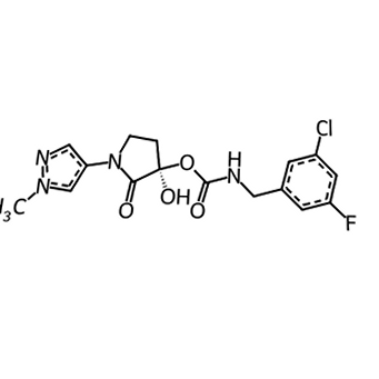 Cn1cc(N2CC[C@@](O)(OC(=O)NCc3cc(F)cc(Cl)c3)C2=O)cn1